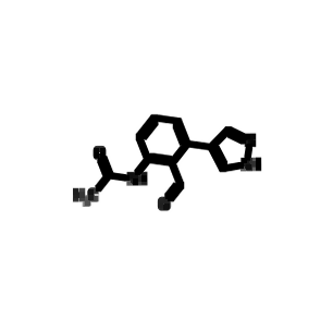 CC(=O)Nc1cccc(-c2cn[nH]c2)c1C=O